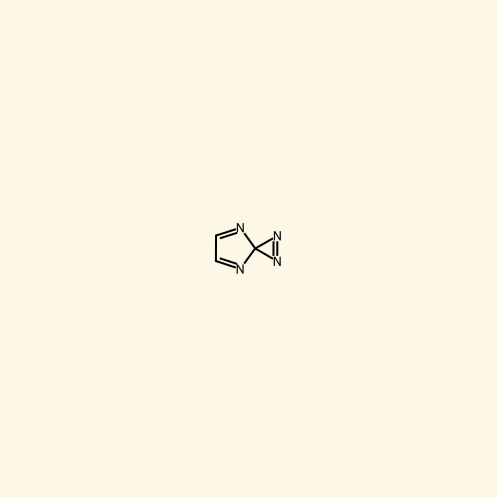 C1=NC2(N=C1)N=N2